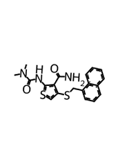 CN(C)C(=O)Nc1scc(SCc2cccc3ccccc23)c1C(N)=O